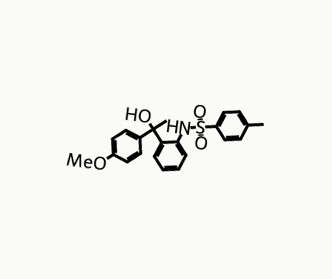 COc1ccc(C(C)(O)c2ccccc2NS(=O)(=O)c2ccc(C)cc2)cc1